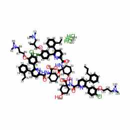 CCCc1ccccc1-c1ccc(C(=O)NC2(C(=O)OC3CCCC(NC(=O)c4ccc(-c5ccccc5CC)c(-c5ccc(Cl)c(OCC(C)CN(C)C)c5)n4)(C(=O)OC(=O)C4(NC(=O)c5ccc(-c6ccccc6CC)c(-c6ccc(Cl)c(OCCCN(C)C)c6)n5)CCCCC4)C3)CCC(O)CC2)nc1-c1ccc(Cl)c(OCCCN(C)C)c1.Cl.Cl.Cl